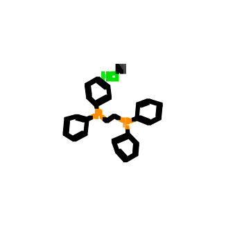 Cl.[Ni].c1ccc(P(CCP(c2ccccc2)c2ccccc2)c2ccccc2)cc1